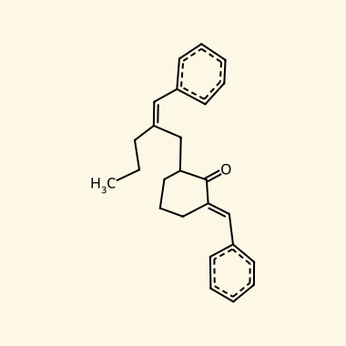 CCCC(=Cc1ccccc1)CC1CCCC(=Cc2ccccc2)C1=O